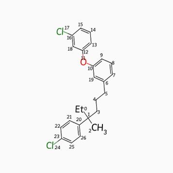 CCC(C)(CCCc1cccc(Oc2cccc(Cl)c2)c1)c1ccc(Cl)cc1